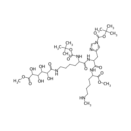 CNCCCCC(NC(=O)C(Cc1cn(C(=O)OC(C)(C)C)cn1)NC(=O)C(CCCCNC(=O)C(O)C(O)C(O)C(O)C(=O)OC)NC(=O)OC(C)(C)C)C(=O)OC